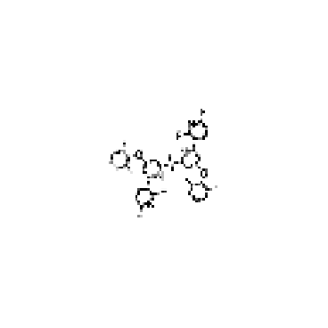 Cc1cccc(C)c1Oc1cc(-c2ccc(F)nc2F)nc(C(C)(C)c2cc(Oc3c(C)cccc3C)cc(-c3ccc(F)nc3F)n2)c1